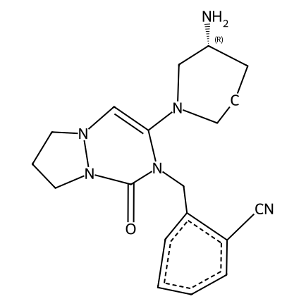 N#Cc1ccccc1CN1C(=O)N2CCCN2C=C1N1CCC[C@@H](N)C1